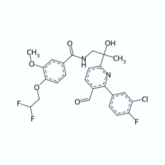 COc1cc(C(=O)NCC(C)(O)c2ccc(C=O)c(-c3ccc(F)c(Cl)c3)n2)ccc1OCC(F)F